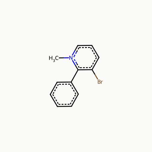 C[n+]1cccc(Br)c1-c1ccccc1